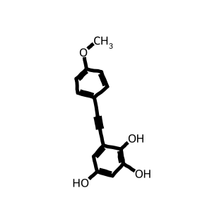 COc1ccc(C#Cc2cc(O)cc(O)c2O)cc1